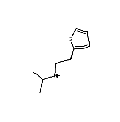 CC(C)NCCc1cccs1